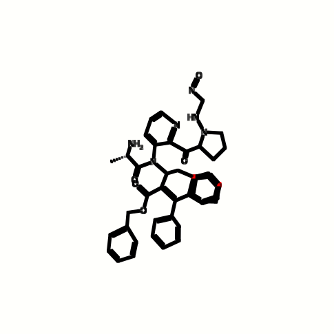 C[C@H](N)C(=O)N(c1cccnc1C(=O)C1CCCN1NCN=O)C(Cc1ccccc1)C(C(=O)OCc1ccccc1)=C(c1ccccc1)c1ccccc1